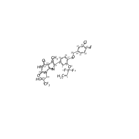 C=CC(F)(F)Oc1cc(-c2nc3c(c(=O)[nH]c(=O)n3CC(O)C(F)(F)F)n2C)ccc1OCc1ccc(F)c(Cl)c1